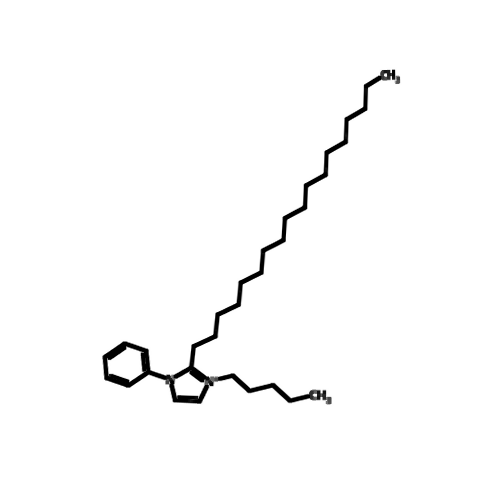 CCCCCCCCCCCCCCCCCCc1n(-c2ccccc2)cc[n+]1CCCCC